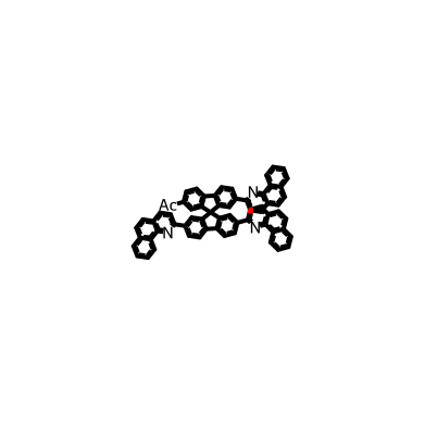 CC(=O)c1ccc2c(c1)C1(c3cc(-c4ccc5ccc6ccccc6c5n4)ccc3-2)c2cc(-c3ccc4ccc5ccccc5c4n3)ccc2-c2ccc(-c3ccc4ccc5ccccc5c4n3)cc21